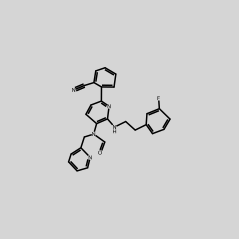 N#Cc1ccccc1-c1ccc(N(C=O)Cc2ccccn2)c(NCCc2cccc(F)c2)n1